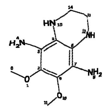 COc1c(N)c2c(c(N)c1OC)NCCN2